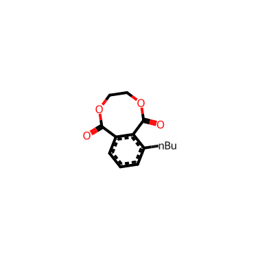 CCCCc1cccc2c1C(=O)OCCOC2=O